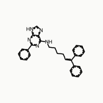 C(CCCCNc1nc(-c2ccccc2)nc2[nH]cnc12)=C(c1ccccc1)c1ccccc1